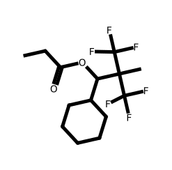 CCC(=O)OC(C1CCCCC1)C(C)(C(F)(F)F)C(F)(F)F